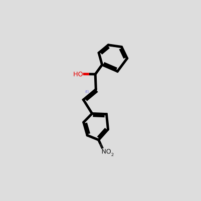 O=[N+]([O-])c1ccc(/C=C/C(O)c2ccccc2)cc1